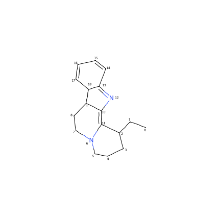 CCC1CCCN2CCC3C(=C12)N=C1C=CC=CC13